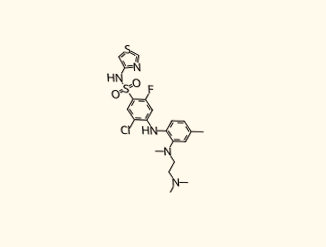 Cc1ccc(Nc2cc(F)c(S(=O)(=O)Nc3cscn3)cc2Cl)c(N(C)CCN(C)C)c1